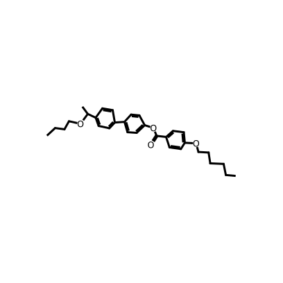 CCCCCCOc1ccc(C(=O)Oc2ccc(-c3ccc(C(C)OCCCC)cc3)cc2)cc1